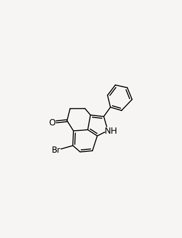 O=C1CCc2c(-c3ccccc3)[nH]c3ccc(Br)c1c23